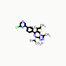 CCC(C(=O)O)[C@@H]1N=C(c2ccc(-c3cncc(Cl)n3)cc2)c2c(sc(C)c2C)-n2c(C)nnc21